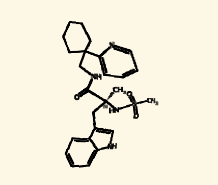 C[C@@](Cc1c[nH]c2ccccc12)(NS(C)(=O)=O)C(=O)NCC1(c2ccccn2)CCCCC1